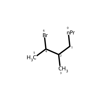 CCCCC(C)C(C)Br